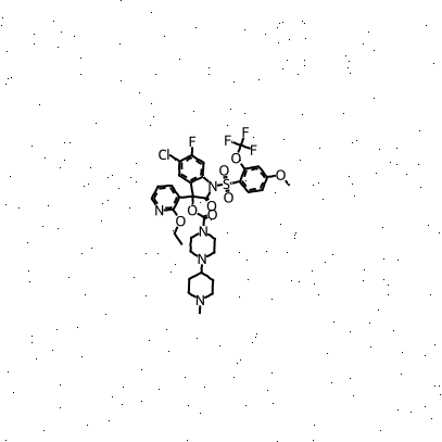 CCOc1ncccc1C1(OC(=O)N2CCN(C3CCN(C)CC3)CC2)C(=O)N(S(=O)(=O)c2ccc(OC)cc2OC(F)(F)F)c2cc(F)c(Cl)cc21